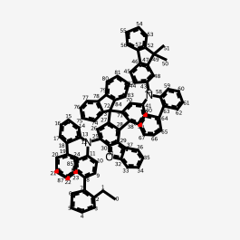 CCc1ccccc1-c1ccc(N(c2ccccc2-c2ccccc2)c2cc3c(c4c2oc2ccccc24)-c2ccc(N(c4ccc5c(c4)C(C)(C)c4ccccc4-5)c4ccccc4-c4ccccc4)cc2C32c3ccccc3-c3ccccc32)cc1CC